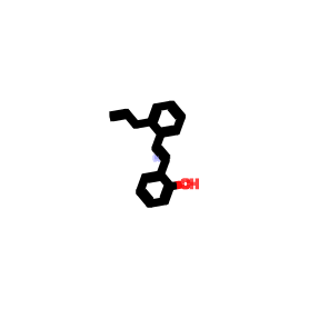 C=CCc1ccccc1/C=C/c1ccccc1O